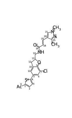 CC(=O)c1ccc(-c2cc(Cl)c3c(c2)CC(CNC(=O)/C=C/c2cn(C)nc2C)O3)s1